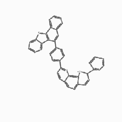 C1=CC(c2ccccc2)Nc2c1ccc1ccc(-c3ccc(-c4cc5ccccc5c5sc6ccccc6c45)cc3)nc21